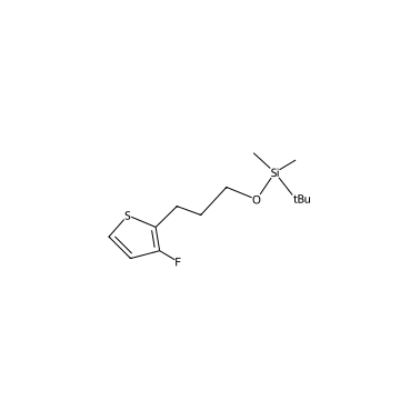 CC(C)(C)[Si](C)(C)OCCCc1sccc1F